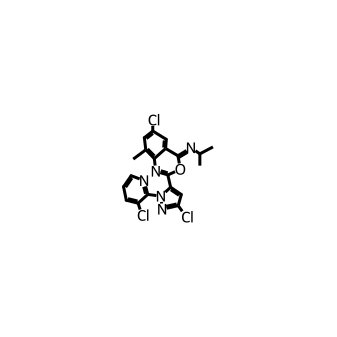 Cc1cc(Cl)cc2c(=NC(C)C)oc(-c3cc(Cl)nn3-c3ncccc3Cl)nc12